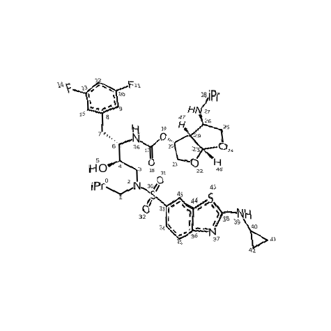 CC(C)CN(C[C@@H](O)[C@H](Cc1cc(F)cc(F)c1)NC(=O)O[C@H]1CO[C@H]2OC[C@H](NC(C)C)[C@H]21)S(=O)(=O)c1ccc2nc(NC3CC3)sc2c1